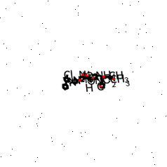 CN(C)CCCC[C@H](CSc1ccccc1)Nc1ccc(S(=O)(=O)Nc2ncnc3cc(N4CCN(Cc5cc(Cl)ccc5-c5ccccc5)CC4)ccc23)cc1[N+](=O)[O-]